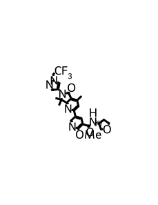 COc1ncc(-c2cc(C)c3c(n2)C(C)(C)N(c2cnn(CC(F)(F)F)c2)C3=O)cc1C(=O)N[C@H]1CCOC1